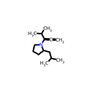 C=C=C(C(C)C)N1CCCC1CC(C)C